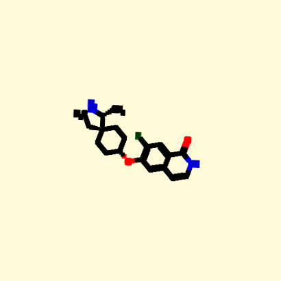 CC[C@]1([C@@H](C)N)CC[C@H](Oc2cc3cc[nH]c(=O)c3cc2F)CC1